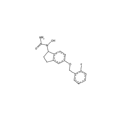 NC(=O)N(O)C1CCc2cc(OCc3ccccc3F)ccc21